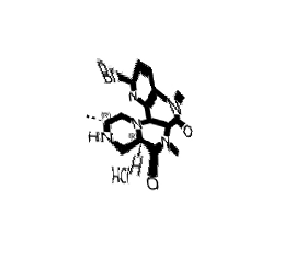 C[C@@H]1CN2c3c(c(=O)n(C)c4ccc(Br)nc34)N(C)C(=O)[C@H]2CN1.Cl